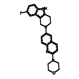 Fc1ccc2[nH]c3c(c2c1)CN(c1ccc2nc(N4CCOCC4)ccc2c1)CC3